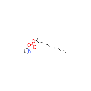 CCCCCCCCCCCC(C)OC(=O)OC1CCC[N]1